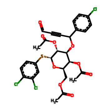 CC(=O)OC[C@H]1O[C@H](Sc2ccc(Cl)c(Cl)c2)[C@H](OC(C)=O)[C@@H](OC(C#CC=O)c2ccc(Cl)cc2)[C@H]1OC(C)=O